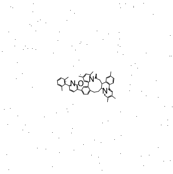 C=C1CC2c3cc(C)ccc3-c3cc(C)c(C)c[n+]3C2CCc2ccc3c(oc4nc(-c5c(C)cccc5C)ccc43)c2-c2cc(C)cc(C)[n+]21